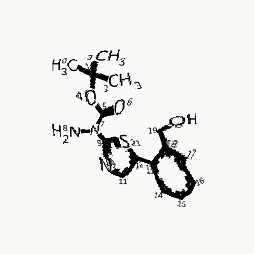 CC(C)(C)OC(=O)N(N)c1ncc(-c2ccccc2CO)s1